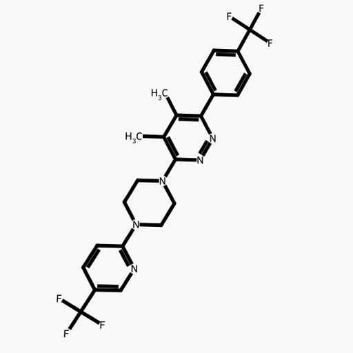 Cc1c(-c2ccc(C(F)(F)F)cc2)nnc(N2CCN(c3ccc(C(F)(F)F)cn3)CC2)c1C